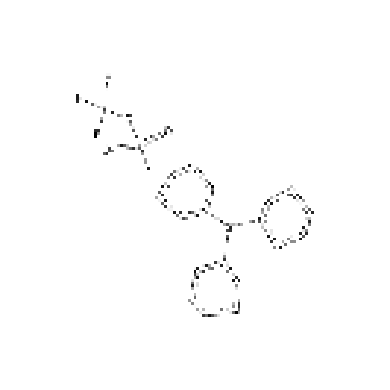 CS(=O)(=O)OC(F)(F)F.c1ccc([S+](c2ccccc2)c2ccccc2)cc1